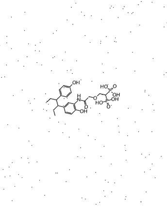 CCC(c1ccc(O)cc1)C(CC)c1ccc(O)c(NC(=O)COCC(P(=O)(O)O)P(=O)(O)O)c1